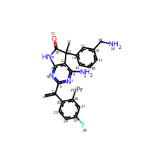 C=C(c1nc(N)c2c(n1)NC(=O)C2(C)c1cccc(CN)c1)c1ccc(F)cc1C(C)C